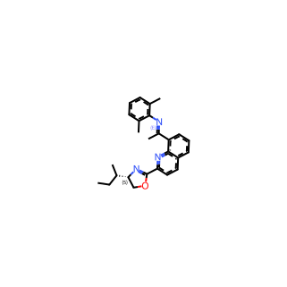 CCC(C)[C@H]1COC(c2ccc3cccc(/C(C)=N/c4c(C)cccc4C)c3n2)=N1